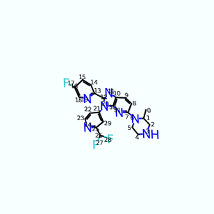 CC1CNCCN1c1ccc2nc(-c3ccc(F)cn3)n(-c3ccnc(C(F)F)c3)c2n1